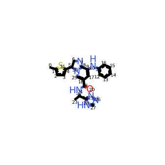 Cc1ccc(C2CN=C3C(Nc4ccccc4)=CC(C(=O)NC(C)c4nnc[nH]4)=CN32)s1